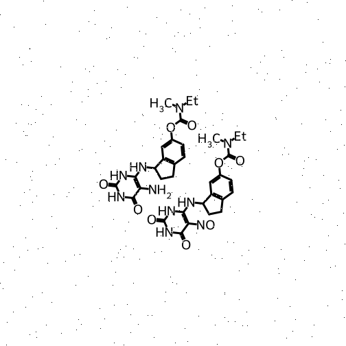 CCN(C)C(=O)Oc1ccc2c(c1)C(Nc1[nH]c(=O)[nH]c(=O)c1N)CC2.CCN(C)C(=O)Oc1ccc2c(c1)C(Nc1[nH]c(=O)[nH]c(=O)c1N=O)CC2